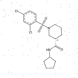 O=C(NC1CCCC1)[C@H]1CCCN(S(=O)(=O)c2ccc(Cl)cc2Cl)C1